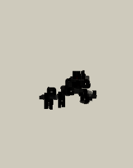 CCNC(=O)CCNC(=O)COCC(COC(=O)C(C)C)(COC(=O)C(C)(C)P)COC(=O)C(C)(C)CC